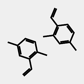 C=Cc1cc(C)ccc1C.C=Cc1ccc(C)cc1C